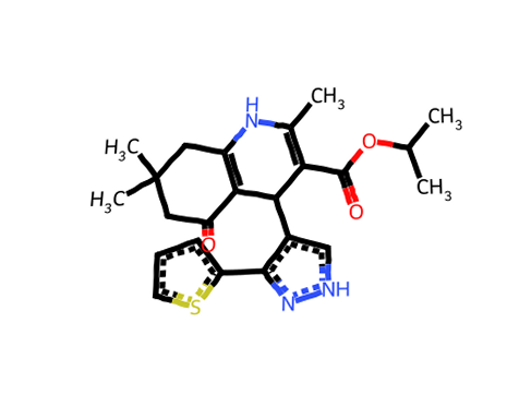 CC1=C(C(=O)OC(C)C)C(c2c[nH]nc2-c2cccs2)C2=C(CC(C)(C)CC2=O)N1